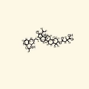 CC(=O)NCCN(CC[C@@]12CC[C@]3(C)[C@H](CCC4[C@@]5(C)CC[C@H](OC(=O)CC(C)(C)C(=O)O)C(C)(C)C5CC[C@]43C)C1=C(C(C)C)C(=O)C2)Cc1ccncc1